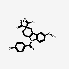 COc1ccc2c(c1)c1c(n2C(=O)c2ccc(Cl)cc2)CCC(C(=O)O)(C(=O)O)C1